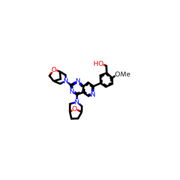 COc1ccc(-c2cc3nc(N4CC5COC(C5)C4)nc(N4CC5CCC(C4)O5)c3cn2)cc1CO